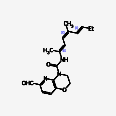 CC/C=C/C(C)=C\C=C(/C)NC(=O)N1CCOc2ccc(C=O)nc21